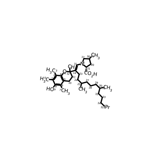 Cc1c(C)c2c(c(C)c1O)CCC(C)(C(=CN1CC(C)C[C@H]1C(=O)O)CCC(C)CCCC(C)CCCC(C)C)O2